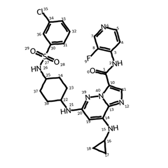 O=C(Nc1ccncc1F)c1cnc2c(NC3CC3)cc(NC3CCC(NS(=O)(=O)c4cccc(Cl)c4)CC3)nn12